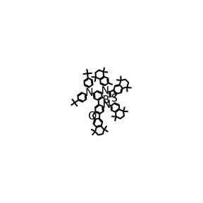 Cc1cc2c(cc1N1c3cc(N(c4ccc(C(C)(C)C)cc4)c4ccc(C(C)(C)C)cc4)cc4c3B(c3sc5cc6c(cc5c31)C(C)(C)CCC6(C)C)N(c1ccc3c(c1)C(C)(C)CCC3(C)C)c1cc3c(cc1-4)oc1cc4c(cc13)C(C)(C)CCC4(C)C)C(C)(C)CCC2(C)C